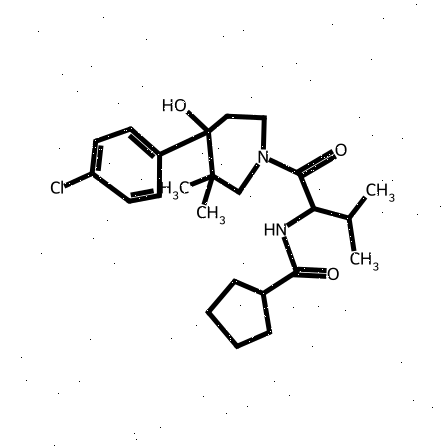 CC(C)C(NC(=O)C1CCCC1)C(=O)N1CCC(O)(c2ccc(Cl)cc2)C(C)(C)C1